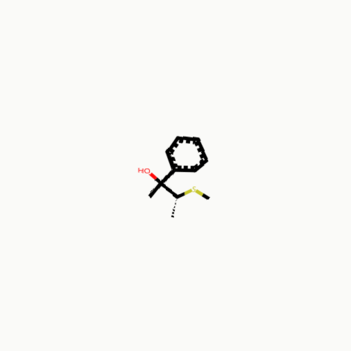 CS[C@H](C)C(C)(O)c1ccccc1